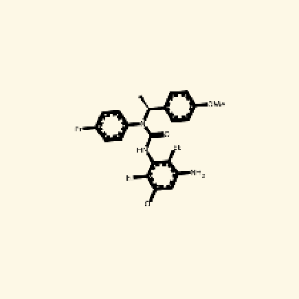 CCc1c(N)cc(Cl)c(CC)c1NC(=O)N(c1ccc(C(C)C)cc1)[C@@H](C)c1ccc(OC)cc1